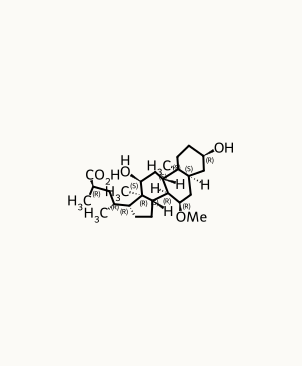 CO[C@@H]1C[C@@H]2C[C@H](O)CC[C@]2(C)[C@H]2C[C@H](O)[C@]3(C)[C@@H]([C@H](C)C[C@@H](C)C(=O)O)CC[C@H]3[C@H]12